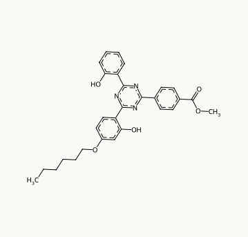 CCCCCCOc1ccc(-c2nc(-c3ccc(C(=O)OC)cc3)nc(-c3ccccc3O)n2)c(O)c1